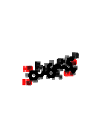 C=C1/C(=C\C=C2/CCC[C@]3(C)[C@@H]([C@H](C)/C=C/[C@@H](O)C4(c5ccc(CC)o5)CC4)CC[C@@H]23)C[C@@H](O)C[C@@H]1O